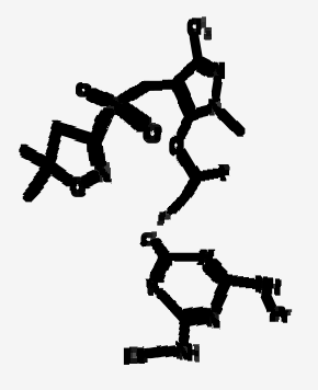 CCNc1nc(Cl)nc(NC(C)C)n1.Cn1nc(C(F)(F)F)c(CS(=O)(=O)C2=NOC(C)(C)C2)c1OC(F)F